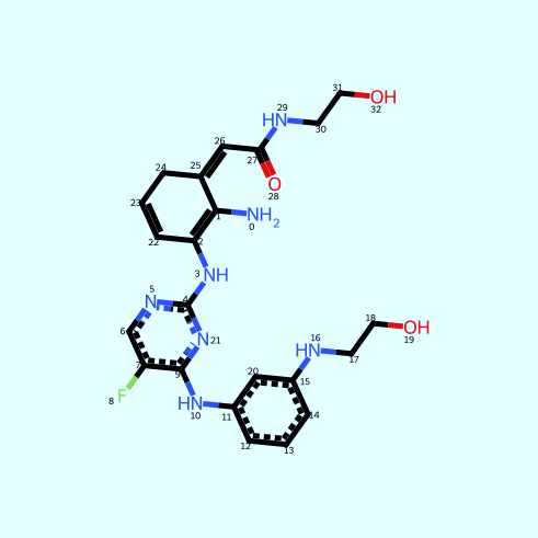 NC1=C(Nc2ncc(F)c(Nc3cccc(NCCO)c3)n2)C=CCC1=CC(=O)NCCO